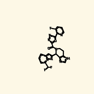 O=C(c1nnc(-c2ncccc2F)o1)N1CCc2[nH]cnc2C1c1cc2cccc(C(F)F)n2n1